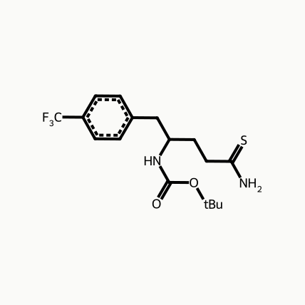 CC(C)(C)OC(=O)NC(CCC(N)=S)Cc1ccc(C(F)(F)F)cc1